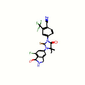 CC1(C)C(=O)N(c2ccc(C#N)c(C(F)(F)F)c2)C(=S)N1c1cc(F)c2c(c1)CNC2=O